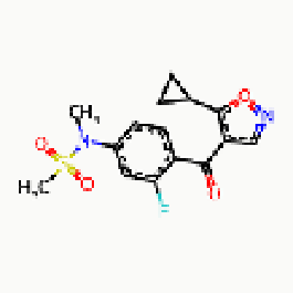 CN(c1ccc(C(=O)c2cnoc2C2CC2)c(F)c1)S(C)(=O)=O